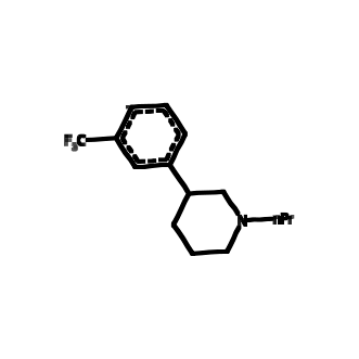 CCCN1CCCC(c2cc[c]c(C(F)(F)F)c2)C1